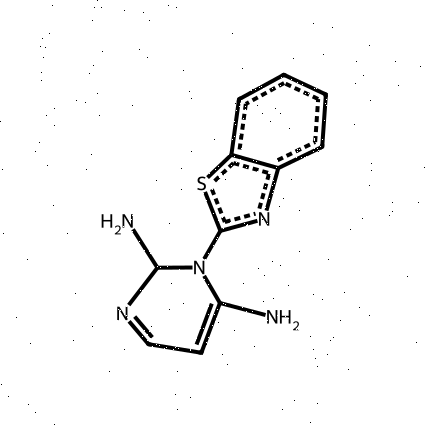 NC1=CC=NC(N)N1c1nc2ccccc2s1